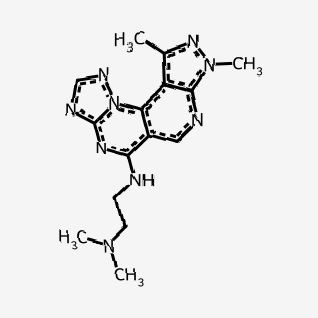 Cc1nn(C)c2ncc3c(NCCN(C)C)nc4ncnn4c3c12